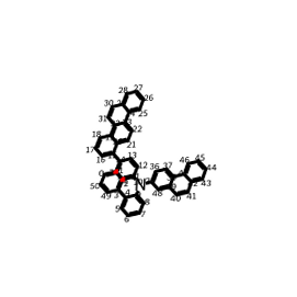 c1ccc(-c2ccccc2N(c2ccc(-c3cccc4c3ccc3c5ccccc5ccc43)cc2)c2ccc3c(ccc4ccccc43)c2)cc1